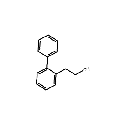 OCCc1ccccc1-c1ccccc1